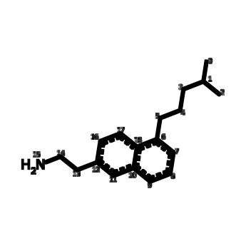 CC(C)CCCc1cccc2cc(CCN)ccc12